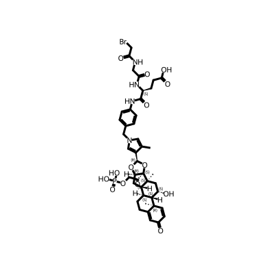 Cc1cn(Cc2ccc(NC(=O)[C@H](CCC(=O)O)NC(=O)CNC(=O)CBr)cc2)cc1[C@@H]1O[C@@H]2C[C@H]3[C@@H]4CCC5=CC(=O)C=C[C@]5(C)[C@H]4[C@@H](O)C[C@]3(C)[C@]2(C(=O)COP(=O)(O)O)O1